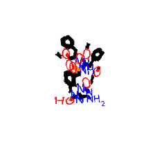 CCOC(=O)C(Cc1ccccc1)NP(=O)(Cc1cccc(Cn2c(O)nc3c(N)nc(OCCOC)nc32)c1)NC(Cc1ccccc1)C(=O)OCC